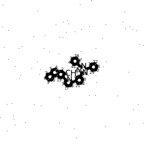 Cc1cc2ccc3ccccc3c2cc1-c1cccc(-c2cccc(-c3nc(-c4ccccc4)nc(-c4ccccc4)n3)c2)n1